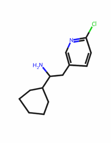 NC(Cc1ccc(Cl)nc1)C1CCCCC1